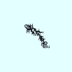 Cc1cc(N2CCC(N3[C@@H]4CC[C@H]3COC4)CC2(C)C)nn1C1CC2(C1)CN(C(=O)OC(C)(C)C)C2